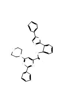 O=C(Nc1ccccc1-c1ncc(-c2ccccc2)s1)c1cc(N2CCNCC2)nc(-c2ccccc2)n1